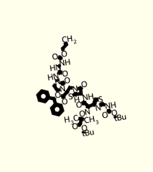 C=CCOC(=O)NNC(=O)NN1CCN([C@]2(C(=O)OC(c3ccccc3)c3ccccc3)CN3C(=O)[C@@H](NC(=O)/C(=N\OC(C)(C)C(=O)OC(C)(C)C)c4csc(NC(=O)OC(C)(C)C)n4)[C@H]3S2)C1=O